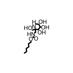 CCCCCCOC(=O)NCC1(CO)NCC(O)C(O)C1O